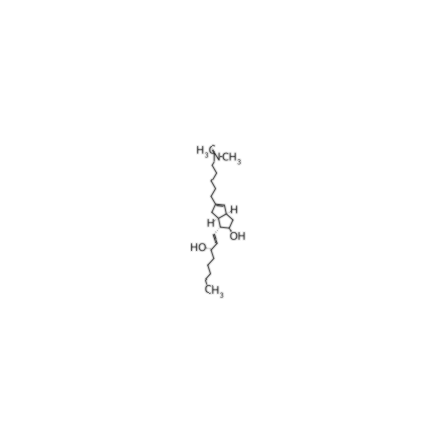 CCCCC[C@H](O)/C=C/[C@@H]1[C@H]2CC(CCCCCN(C)C)=C[C@H]2C[C@H]1O